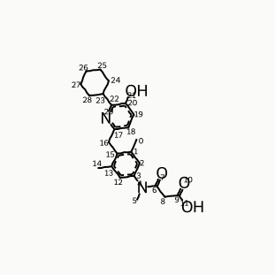 Cc1cc(N(C)C(=O)CC(=O)O)cc(C)c1Cc1ccc(O)c(C2CCCCC2)n1